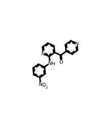 O=C(c1ccncc1)c1cccnc1Nc1cccc([N+](=O)[O-])c1